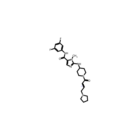 Cn1c(C(=O)Nc2cc(F)cc(F)c2)cnc1NC1CCN(C(=O)/C=C/CN2CCCC2)CC1